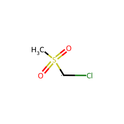 CS(=O)(=O)[CH]Cl